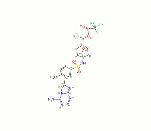 Cc1ccc(S(=O)(=O)NC23CCC(C(C)OC(=O)C(F)(F)F)(CC2)OC3)cc1-c1cn2c(N)ncnc2n1